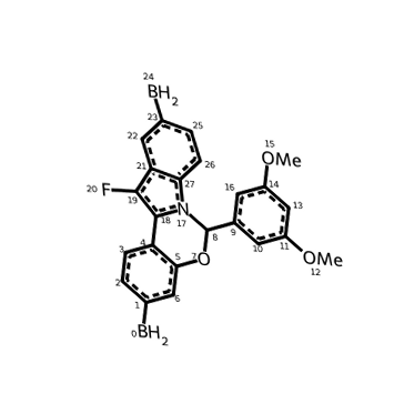 Bc1ccc2c(c1)OC(c1cc(OC)cc(OC)c1)n1c-2c(F)c2cc(B)ccc21